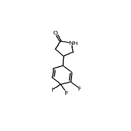 O=C1CC(C2C=CC(F)(I)C(F)=C2)CN1